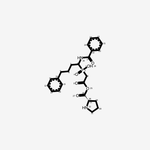 O=C(CP(=O)(O)C(CCCc1ccccc1)NC(=O)c1ccccc1)OC(=O)[C@@H]1CCCN1